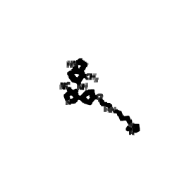 Cc1c(Nc2c(C#N)cncc2-c2ccc(OCCNCCCn3ccnc3)cc2)ccc2[nH]ccc12